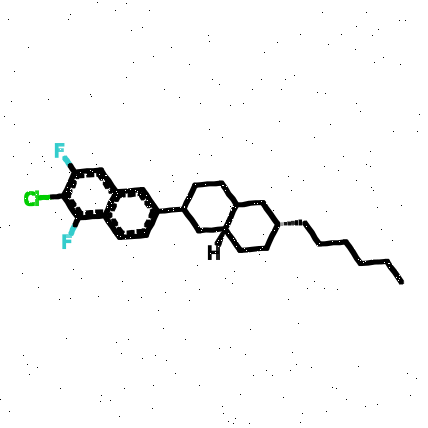 CCCCCC[C@@H]1CC[C@@H]2CC(c3ccc4c(F)c(Cl)c(F)cc4c3)CCC2C1